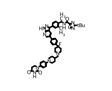 Cc1cc(-c2n[nH]c3ncc(-c4ccc(C5(F)CCN(CC6CCN(c7ccc(N8CCC(=O)NC8=O)cc7)CC6)CC5)cc4)cc23)ccc1[C@@H](C)NC(=O)c1nc(C(C)(C)C)no1